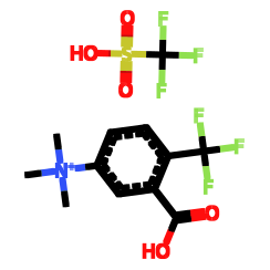 C[N+](C)(C)c1ccc(C(F)(F)F)c(C(=O)O)c1.O=S(=O)(O)C(F)(F)F